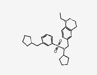 CCN1CCCc2cc(CN(C3CCCC3)S(=O)(=O)c3cccc(CC4CCCC4)c3)ccc21